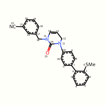 CSc1ccccc1-c1ccc(N2CC=CN(Cc3cccc(C#N)c3)C2=O)cc1